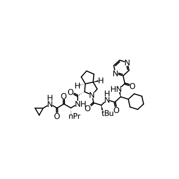 CCC[C@@H](NC(=O)[C@@H]1[C@H]2CCC[C@@H]2CN1C(=O)[C@@H](NC(=O)[C@@H](NC(=O)c1cnccn1)C1CCCCC1)C(C)(C)C)C(=O)C(=O)NC1CC1